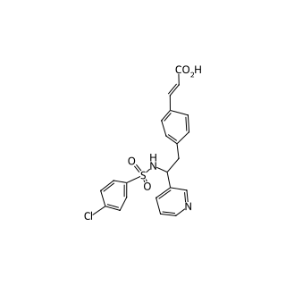 O=C(O)C=Cc1ccc(CC(NS(=O)(=O)c2ccc(Cl)cc2)c2cccnc2)cc1